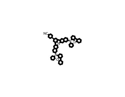 N#Cc1ccc(-c2cc3c4cc5ccc(N(c6ccccc6)c6cccc7c6oc6ccccc67)cc5cc4n4c5cc6cc(N(c7ccccc7)c7cccc8c7oc7ccccc78)ccc6cc5c(c2)c34)cc1